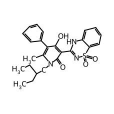 CCC(CC)Cn1c(C)c(-c2ccccc2)c(O)c(C2=NS(=O)(=O)c3ccccc3N2)c1=O